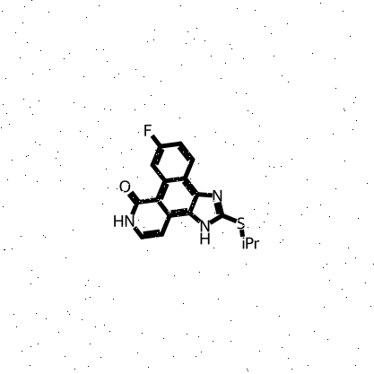 CC(C)Sc1nc2c3ccc(F)cc3c3c(=O)[nH]ccc3c2[nH]1